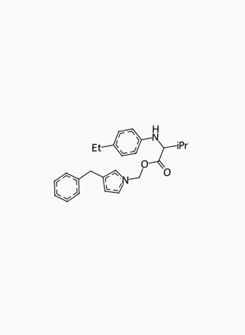 CCc1ccc(NC(C(=O)OCn2ccc(Cc3ccccc3)c2)C(C)C)cc1